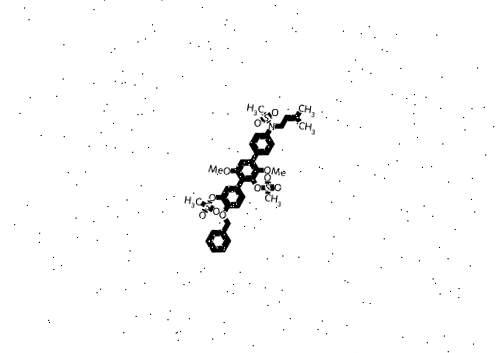 COc1cc(-c2ccc(N(CC=C(C)C)S(C)(=O)=O)cc2)c(OC)c(OS(C)(=O)=O)c1-c1ccc(OCc2ccccc2)c(OS(C)(=O)=O)c1